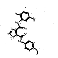 COc1ccc(NC(=O)c2[nH]cnc2C(=O)Nc2cc(Br)ccc2C)cc1